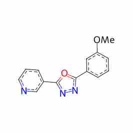 COc1cccc(-c2nnc(-c3cccnc3)o2)c1